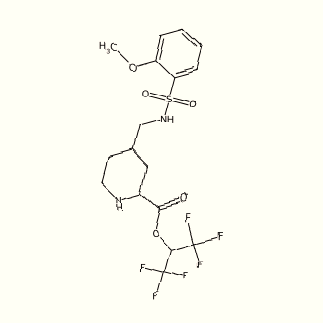 COc1ccccc1S(=O)(=O)NCC1CCNC(C(=O)OC(C(F)(F)F)C(F)(F)F)C1